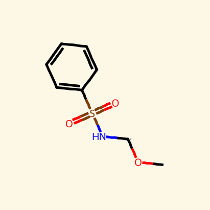 CO[CH]NS(=O)(=O)c1ccccc1